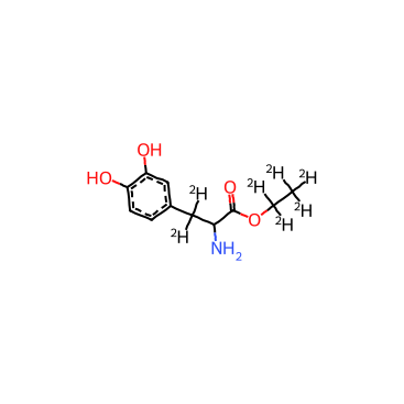 [2H]C([2H])(c1ccc(O)c(O)c1)C(N)C(=O)OC([2H])([2H])C([2H])([2H])[2H]